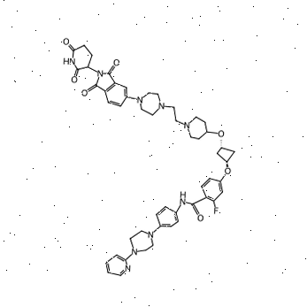 O=C1CCC(N2C(=O)c3ccc(N4CCN(CCN5CCC(O[C@H]6C[C@H](Oc7ccc(C(=O)Nc8ccc(N9CCN(c%10ccccn%10)CC9)cc8)c(F)c7)C6)CC5)CC4)cc3C2=O)C(=O)N1